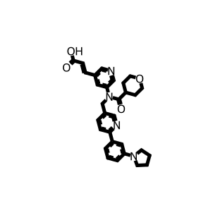 O=C(O)C=Cc1cncc(N(Cc2ccc(-c3cccc(N4CCCC4)c3)nc2)C(=O)C2CCOCC2)c1